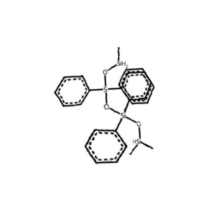 C[SiH2]O[Si](O[Si](O[SiH](C)C)(c1ccccc1)c1ccccc1)(c1ccccc1)c1ccccc1